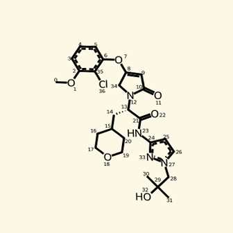 COc1cccc(OC2=CC(=O)N([C@@H](CC3CCOCC3)C(=O)Nc3ccn(CC(C)(C)O)n3)C2)c1Cl